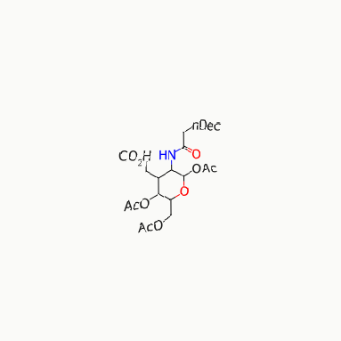 CCCCCCCCCCCC(=O)NC1C(OC(C)=O)OC(COC(C)=O)C(OC(C)=O)C1CC(=O)O